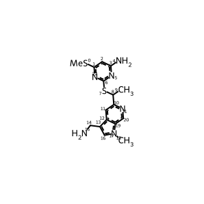 CSc1cc(N)nc(SC(C)c2cc3c(CN)cn(C)c3cn2)n1